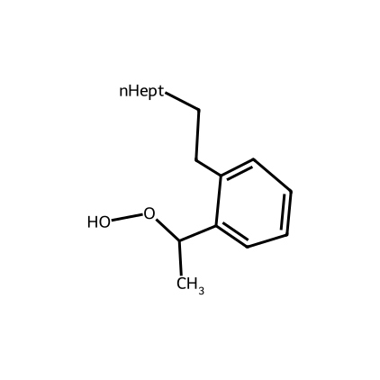 CCCCCCCCCc1ccccc1C(C)OO